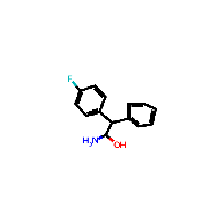 NC(O)C(c1ccccc1)c1ccc(F)cc1